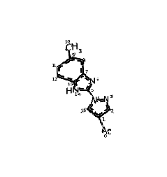 CC(=O)c1cnn(-c2nc3cc(C)ccc3[nH]2)c1